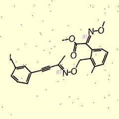 CO/N=C(/C(=O)OC)c1cccc(C)c1CO/N=C(\C)C#Cc1cccc(I)c1